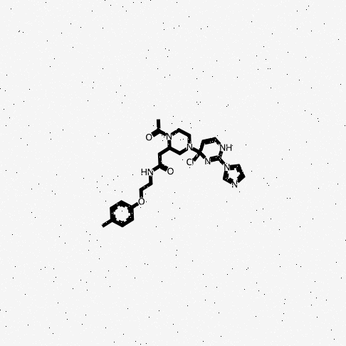 CC(=O)N1CCN(C2(Cl)C=CNC(n3ccnc3)=N2)CC1CC(=O)NCCOc1ccc(C)cc1